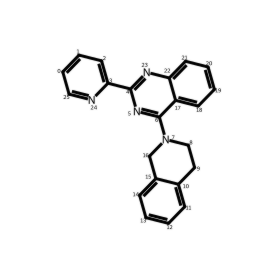 c1ccc(-c2nc(N3CCc4ccccc4C3)c3ccccc3n2)nc1